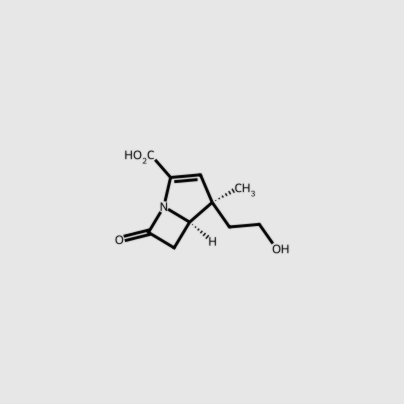 C[C@@]1(CCO)C=C(C(=O)O)N2C(=O)C[C@@H]21